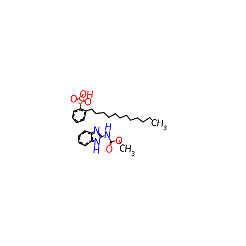 CCCCCCCCCCCCc1ccccc1S(=O)(=O)O.COC(=O)Nc1nc2ccccc2[nH]1